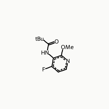 COc1nccc(F)c1NC(=O)C(C)(C)C